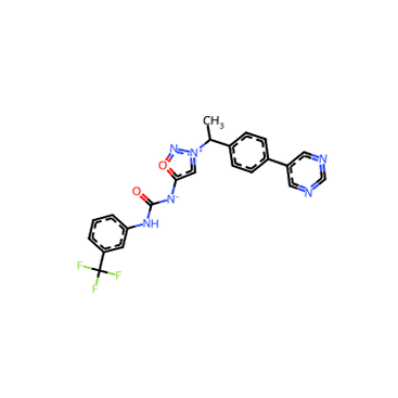 CC(c1ccc(-c2cncnc2)cc1)[n+]1cc([N-]C(=O)Nc2cccc(C(F)(F)F)c2)on1